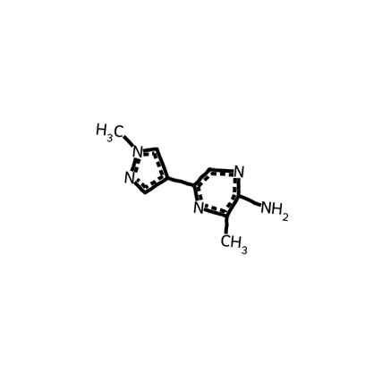 Cc1nc(-c2cnn(C)c2)cnc1N